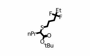 CCCC(SCCCC(F)(F)CC)C(=O)OC(C)(C)C